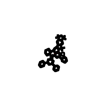 CC1(C)CC(C)(C)c2cc3c(cc21)-c1cc(-c2ccccc2N(c2cc(-c4ccccc4)cc(-c4ccccc4)c2)c2ccc4oc5ccccc5c4c2)ccc1C3(C)C